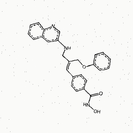 O=C(NO)c1ccc(C=C(CNc2cnc3ccccc3c2)COc2ccccc2)cc1